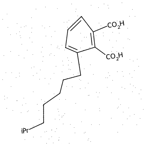 CC(C)CCCCCc1cccc(C(=O)O)c1C(=O)O